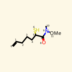 C=CCCCC(S)C(=O)N(C)OC